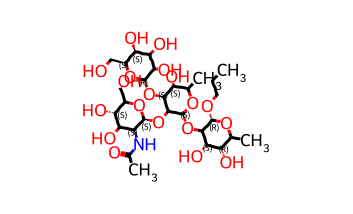 CCCO[C@@H]1OC(C)[C@H](O)[C@H](O)C1O[C@@H]1OC(C)[C@H](O)[C@H](O[C@H]2O[C@@H](CO)[C@@H](O)C(O)C2O)C1O[C@@H]1OC(CO)[C@@H](O)C(O)[C@@H]1NC(C)=O